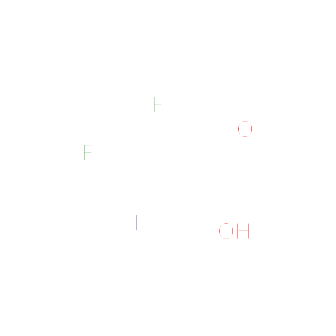 O=C(O)C(F)(F)I